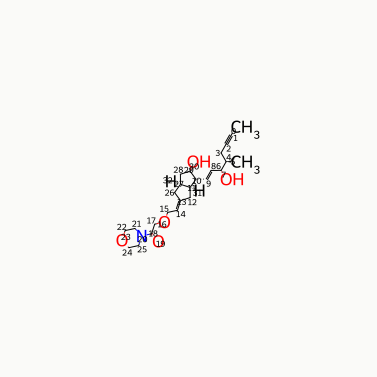 CC#CC[C@@H](C)[C@H](O)/C=C/[C@@H]1[C@H]2C/C(=C/COCC(=O)N3CCOCC3)C[C@H]2C[C@H]1O